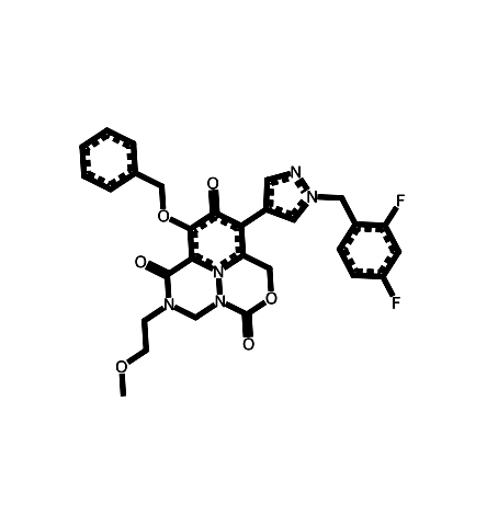 COCCN1CN2C(=O)OCc3c(-c4cnn(Cc5ccc(F)cc5F)c4)c(=O)c(OCc4ccccc4)c(n32)C1=O